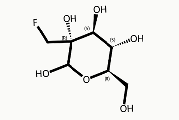 OC[C@H]1OC(O)[C@@](O)(CF)[C@@H](O)[C@@H]1O